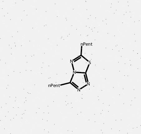 CCCCCc1nn2c(CCCCC)nnc2s1